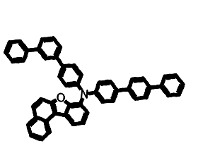 c1ccc(-c2ccc(-c3ccc(N(c4ccc(-c5cccc(-c6ccccc6)c5)cc4)c4cccc5c4oc4ccc6ccccc6c45)cc3)cc2)cc1